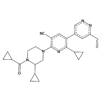 C=Cc1cc(-c2cc(C#N)c(N3CCN(C(=O)C4CC4)C(C4CC4)C3)nc2C2CC2)cnn1